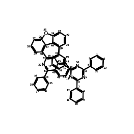 c1ccc(-c2nc(-c3ccccc3)nc(-c3cccc(-c4cccc5oc6cccc(-c7nc(-c8ccccc8)c8ccccc8n7)c6c45)c3)n2)cc1